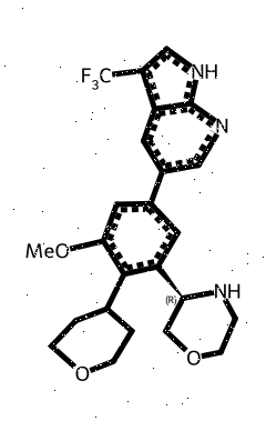 COc1cc(-c2cnc3[nH]cc(C(F)(F)F)c3c2)cc([C@@H]2COCCN2)c1C1CCOCC1